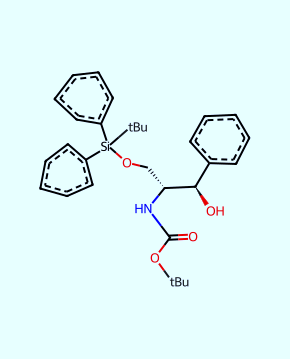 CC(C)(C)OC(=O)N[C@H](CO[Si](c1ccccc1)(c1ccccc1)C(C)(C)C)[C@H](O)c1ccccc1